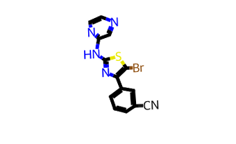 N#Cc1cccc(-c2nc(Nc3cnccn3)sc2Br)c1